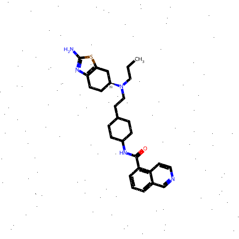 CCCN(CCC1CCC(NC(=O)c2cccc3cnccc23)CC1)[C@H]1CCc2nc(N)sc2C1